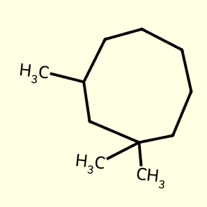 CC1CCCCCC(C)(C)C1